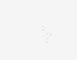 CC(O)[C@H]1CC[C@H]2[C@@H]3CCC4=CC(=O)CC[C@@]4(C)[C@@H]3CC[C@]12CCCc1ccc(CO[Si](c2ccccc2)(c2ccccc2)C(C)(C)C)cc1